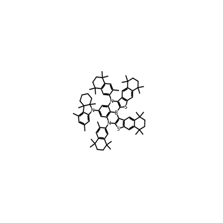 Cc1cc(C)c2c(c1)N(c1cc3c4c(c1)N(c1cc5c(cc1C)C(C)(C)CCC5(C)C)c1c(sc5cc6c(cc15)C(C)(C)CCC6(C)C)B4c1c(sc4cc5c(cc14)C(C)(C)CCC5(C)C)N3c1cc3c(cc1C)C(C)(C)CCC3(C)C)C1(C)CCCCC21C